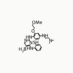 Bc1cnc(Nc2ccc(NCCN(C)C)cc2OCCOC)nc1Nc1ccccc1S